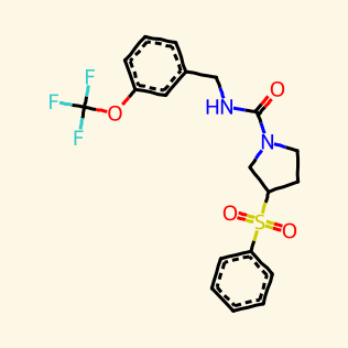 O=C(NCc1cccc(OC(F)(F)F)c1)N1CCC(S(=O)(=O)c2ccccc2)C1